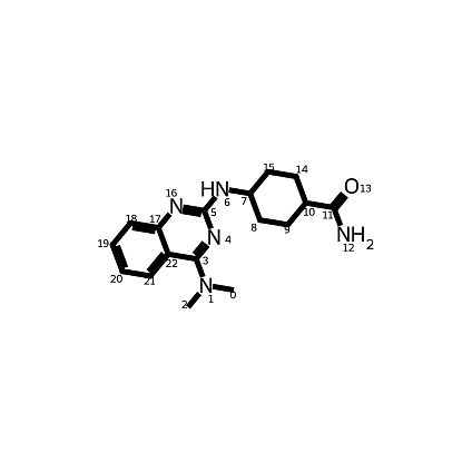 CN(C)c1nc(NC2CCC(C(N)=O)CC2)nc2ccccc12